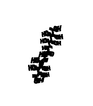 O=C(NC[C@H](O)[C@@H](O)[C@H](O)[C@H](O)CO)NC[C@H](O)[C@@H](O)[C@H](O)[C@H](O)CO